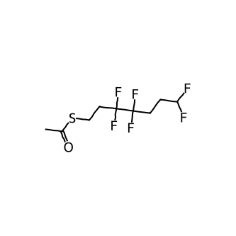 CC(=O)SCCC(F)(F)C(F)(F)CCC(F)F